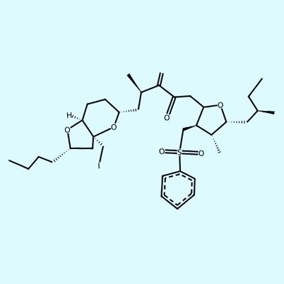 C=C(C(=O)CC1O[C@H](C[C@H](C)CC)[C@H](C)[C@H]1CS(=O)(=O)c1ccccc1)[C@H](C)C[C@H]1CC[C@@H]2O[C@@H](CCCC)C[C@]2(CI)O1